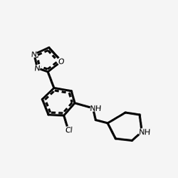 Clc1ccc(-c2nnco2)cc1NCC1CCNCC1